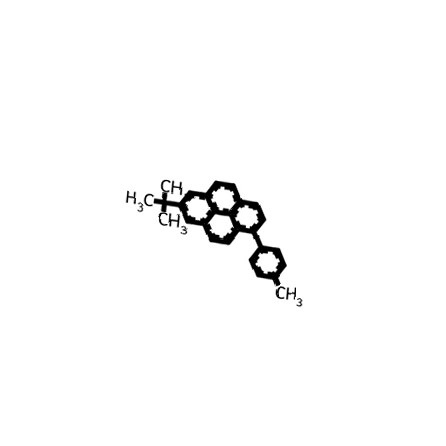 Cc1ccc(-c2ccc3ccc4cc(C(C)(C)C)cc5ccc2c3c45)cc1